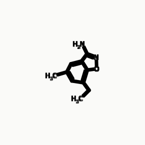 CCc1cc(C)cc2c(N)noc12